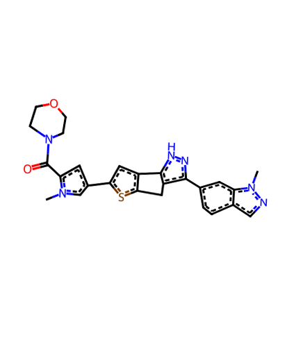 Cn1cc(-c2cc3c(s2)Cc2c(-c4ccc5cnn(C)c5c4)n[nH]c2-3)cc1C(=O)N1CCOCC1